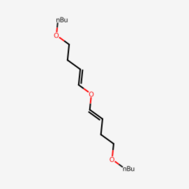 CCCCOCCC=COC=CCCOCCCC